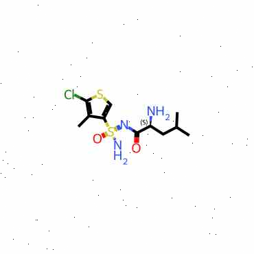 Cc1c(S(N)(=O)=NC(=O)[C@@H](N)CC(C)C)csc1Cl